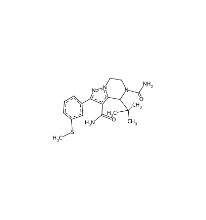 CSc1cccc(-c2nn3c(c2C(N)=O)C(C(C)(C)C)N(C(N)=O)CC3)c1